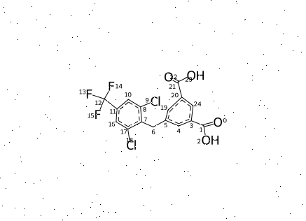 O=C(O)c1cc(Cc2c(Cl)cc(C(F)(F)F)cc2Cl)cc(C(=O)O)c1